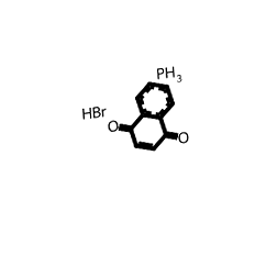 Br.O=C1C=CC(=O)c2ccccc21.P